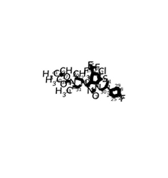 C[C@@H]1CN(c2nc(=O)n3c4c(c(Cl)c(C(F)(F)F)cc24)SC[C@@H](c2ccc(F)cc2)C3)C[C@H](C)N1C(=O)OC(C)(C)C